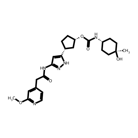 COc1cc(CC(=O)Nc2cc([C@@H]3CC[C@H](OC(=O)N[C@H]4CC[C@](C)(O)CC4)C3)[nH]n2)ccn1